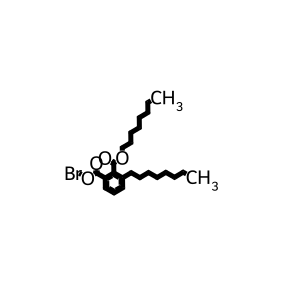 CCCCCCCCOC(=O)c1c(CCCCCCCC)cccc1C(=O)OBr